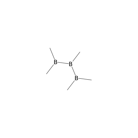 CB(C)B(C)B(C)C